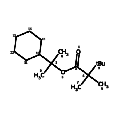 CC(C)(OC(=O)C(C)(C)C(C)(C)C)C1CCCCC1